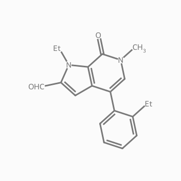 CCc1ccccc1-c1cn(C)c(=O)c2c1cc(C=O)n2CC